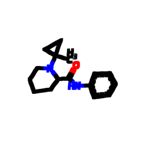 CC1(N2CCCCC2C(=O)Nc2ccccc2)CC1